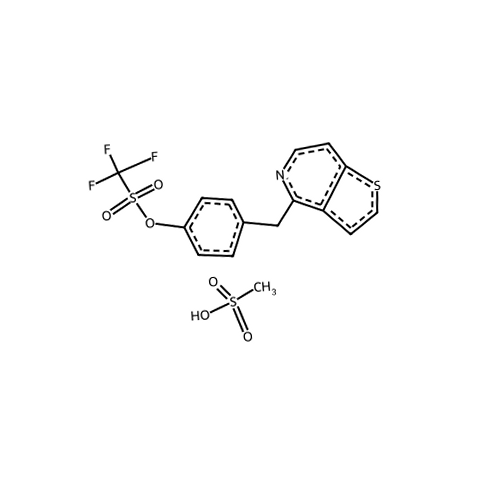 CS(=O)(=O)O.O=S(=O)(Oc1ccc(Cc2nccc3sccc23)cc1)C(F)(F)F